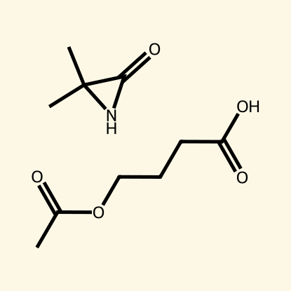 CC(=O)OCCCC(=O)O.CC1(C)NC1=O